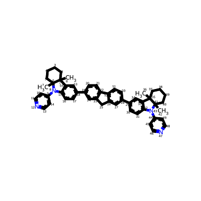 CC12CCCCC1(C)N(c1ccncc1)c1ccc(-c3ccc4c(c3)Cc3cc(-c5ccc6c(c5)C5(C)CCCCC5(C)N6c5ccncc5)ccc3-4)cc12